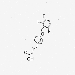 O=C(O)CCCC12CCC(OCc3c(F)ccc(F)c3F)(CC1)C2